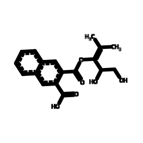 CC(C)=C(OC(=O)c1cc2ccccc2cc1C(=O)O)C(O)CO